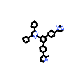 Cc1ncccc1-c1ccc(-c2cc(-c3ccc(-c4ccncn4)cc3)cc(-c3nc(-c4ccccc4)cc(-c4ccccc4)n3)c2)cc1